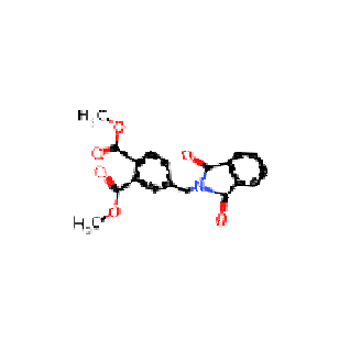 COC(=O)c1ccc(CN2C(=O)c3ccccc3C2=O)cc1C(=O)OC